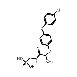 CC(Oc1ccc(Oc2ccc(Cl)cc2)cc1)C(=O)NCP(=O)(O)O